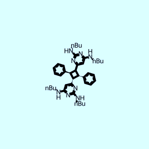 CCCCNc1cc(C2[C@H](c3ccccc3)[C@H](c3cc(NCCCC)nc(NCCCC)n3)[C@H]2c2ccccc2)nc(NCCCC)n1